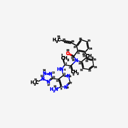 C=C([C@H](C)Nc1ncnc(N)c1-c1nnn(C)n1)N(C(=O)c1c(C)cccc1C#CC)c1ccccc1